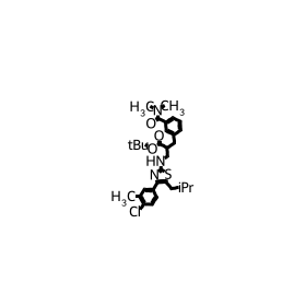 Cc1cc(-c2nc(NCC(Cc3cccc(C(=O)N(C)C)c3)C(=O)OC(C)(C)C)sc2CC(C)C)ccc1Cl